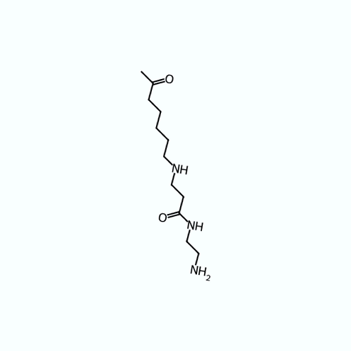 CC(=O)CCCCCNCCC(=O)NCCN